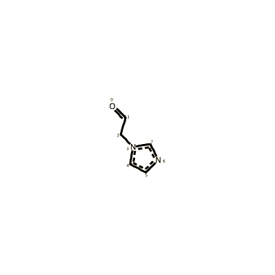 O=[C]Cn1ccnc1